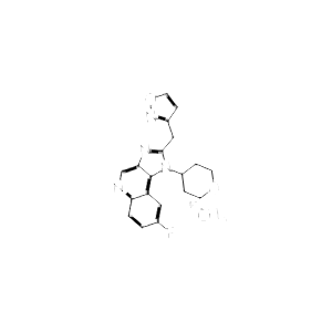 C[C@@H]1CC(n2c(Cc3ccon3)nc3cnc4ccc(F)cc4c32)CCO1